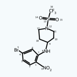 O=[N+]([O-])c1ccc(Br)cc1NC1CCN(S(=O)(=O)C(F)(F)F)CC1